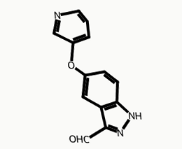 O=Cc1n[nH]c2ccc(Oc3cccnc3)cc12